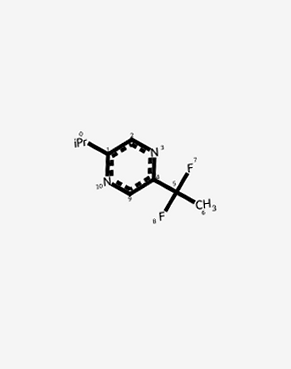 CC(C)c1cnc(C(C)(F)F)cn1